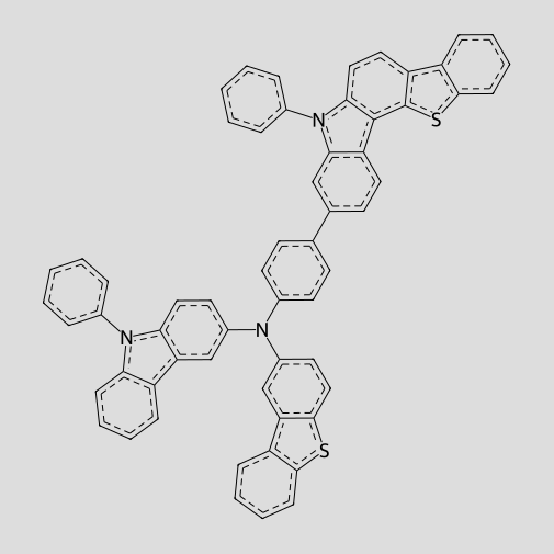 c1ccc(-n2c3ccccc3c3cc(N(c4ccc(-c5ccc6c7c8sc9ccccc9c8ccc7n(-c7ccccc7)c6c5)cc4)c4ccc5sc6ccccc6c5c4)ccc32)cc1